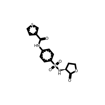 O=C(Nc1ccc(S(=O)(=O)N[C@H]2CCOC2=O)cc1)c1ccsc1